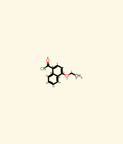 CCOc1ccc(C(=O)Cl)c2ccccc12